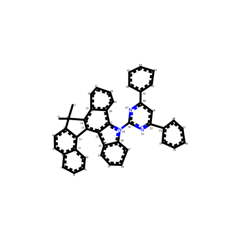 CC1(C)c2ccc3ccccc3c2-c2c1c1ccccc1c1c2c2ccccc2n1-c1nc(-c2ccccc2)cc(-c2ccccc2)n1